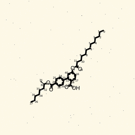 CCCCCCCCCCCCC(=O)Oc1ccc(C(=O)O)c(-c2ccc(C(=O)O[C@H](C)CCCCCC)cc2)c1